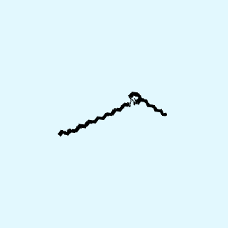 CCCCCCCCCCCCCCCCC[n+]1cccc(CCCCCCC)c1